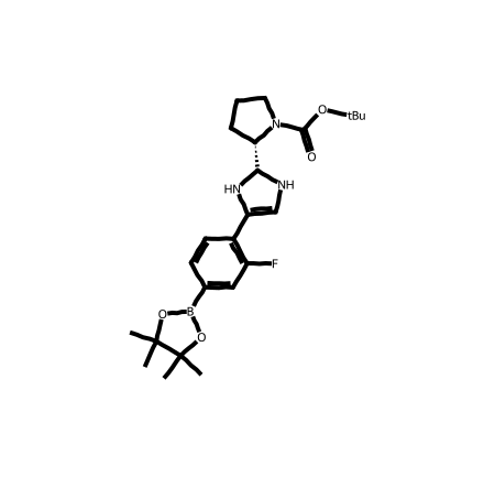 CC(C)(C)OC(=O)N1CCC[C@H]1C1NC=C(c2ccc(B3OC(C)(C)C(C)(C)O3)cc2F)N1